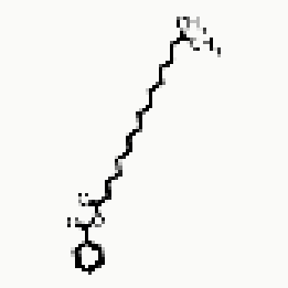 CC(C)CCCCCCCCCCCCCCC(=O)OC(=O)c1ccccc1